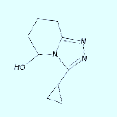 OC1CCCc2nnc(C3CC3)n21